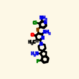 C[C@@H]1C(=O)C(Sc2ccnc(N)c2Cl)=C(N)N=C1N1CCC2(CC1)Cc1cccc(F)c1C2N